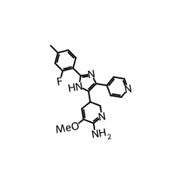 COC1=CC(c2[nH]c(-c3ccc(C)cc3F)nc2-c2ccncc2)CN=C1N